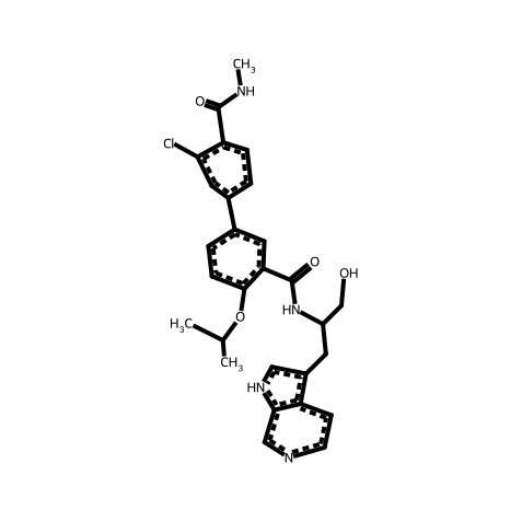 CNC(=O)c1ccc(-c2ccc(OC(C)C)c(C(=O)NC(CO)Cc3c[nH]c4cnccc34)c2)cc1Cl